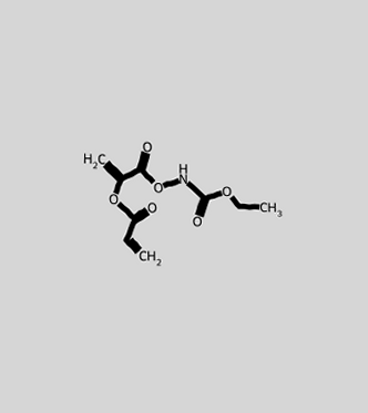 C=CC(=O)OC(=C)C(=O)ONC(=O)OCC